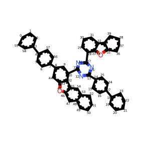 c1ccc(-c2ccc(-c3cc(-c4nc(-c5ccc(-c6ccccc6)cc5)nc(-c5cccc6c5oc5ccccc56)n4)c4c(c3)oc3cc5ccccc5cc34)cc2)cc1